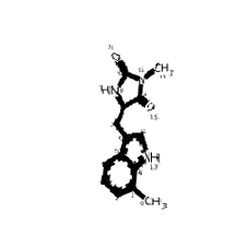 Cc1cccc2c(CC3NC(=O)N(C)C3=O)c[nH]c12